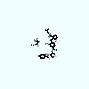 CC(C)COC(=O)c1cccc(O)c1C(=O)c1c(O)cc(C(=O)O[C@H]2CNC[C@@H]2NC(=O)c2ccc(O)cc2)cc1O.O=C(O)C(F)(F)F